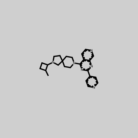 CC1CCC1N1CCC2(CCN(c3nc(-c4ccncc4)nc4cnccc34)CC2)C1